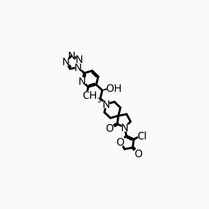 Cc1nc(-n2cnnn2)ccc1[C@@H](O)CN1CCC2(CC1)CCN(C1=C(Cl)C(=O)CO1)C2=O